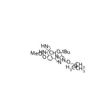 COC(=O)NC(c1cccc(-c2cnc3c(n2)c(C(=O)C(C)(C)C)cn3COCC[Si](C)(C)C)c1)C1(C)CCNC1